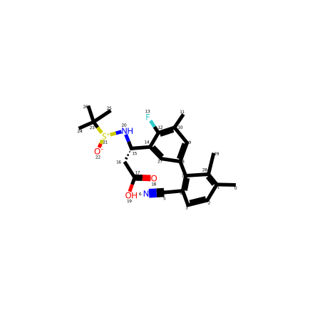 Cc1ccc(C#N)c(-c2cc(C)c(F)c([C@H](CC(=O)O)N[S+]([O-])C(C)(C)C)c2)c1C